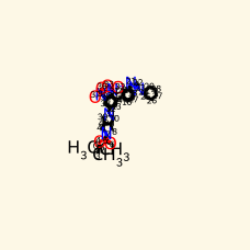 CC(C)(C)OC(=O)N1CC2CN(c3cc(-c4ccc5c(c4)ncn5C4CCCCC4)c([N+](=O)[O-])c([N+](=O)[O-])c3)CC2C1